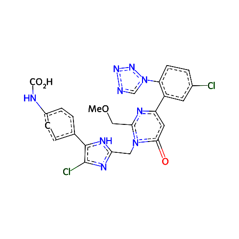 COCc1nc(-c2cc(Cl)ccc2-n2cnnn2)cc(=O)n1Cc1nc(Cl)c(-c2ccc(NC(=O)O)cc2)[nH]1